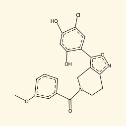 COc1cccc(C(=O)N2CCc3noc(-c4cc(Cl)c(O)cc4O)c3C2)c1